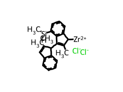 CC1=Cc2ccccc2C1C1=C(C)[CH]([Zr+2])c2cccc([SiH](C)C)c21.[Cl-].[Cl-]